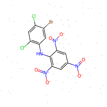 O=[N+]([O-])c1cc([N+](=O)[O-])c(Nc2cc(Br)c(Cl)cc2Cl)c([N+](=O)[O-])c1